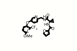 COc1ccc(Oc2ccc(CNC(=O)C3(NC(=O)c4ccco4)CC3)nc2)c(C(F)(F)F)c1